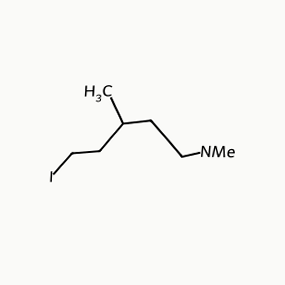 CNCCC(C)CCI